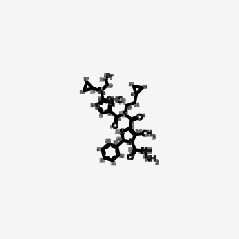 CC1=C(C(=O)N(C(=O)c2csc(N(CC(C)C)C3CC3)n2)[C@H]([C]=O)CC2CC2)SC(c2ccccc2)N1C(=O)NN